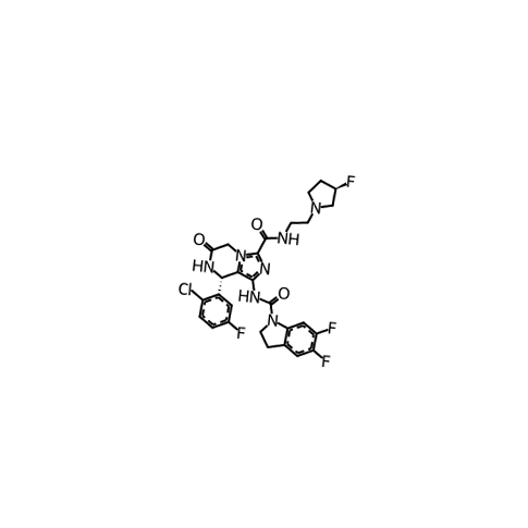 O=C1Cn2c(C(=O)NCCN3CC[C@@H](F)C3)nc(NC(=O)N3CCc4cc(F)c(F)cc43)c2[C@H](c2cc(F)ccc2Cl)N1